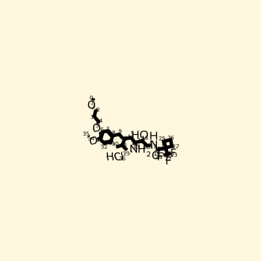 COCCCOc1cc(CC(CC(N)C(O)CNC(=O)C2(C(F)(F)F)CCC2)C(C)C)ccc1OC.Cl